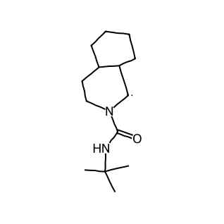 CC(C)(C)NC(=O)N1[CH]C2CCCCC2CC1